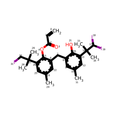 C=CC(=O)Oc1c(Cc2cc(C)cc(C(C)(C)C(I)I)c2O)cc(C)cc1C(C)(C)CI